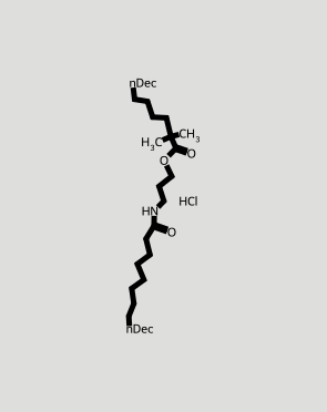 CCCCCCCCCCCCCCCCCC(=O)NCCCOC(=O)C(C)(C)CCCCCCCCCCCCCC.Cl